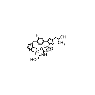 CCc1nccn1Cc1ccc(-c2cc(CC(C)C)sc2S(=O)(=O)NC(=O)NCCO)cc1F